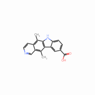 Cc1c2ccncc2c(C)c2c1[nH]c1ccc(C(=O)O)cc12